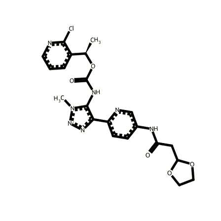 C[C@@H](OC(=O)Nc1c(-c2ccc(NC(=O)CC3OCCO3)cn2)nnn1C)c1cccnc1Cl